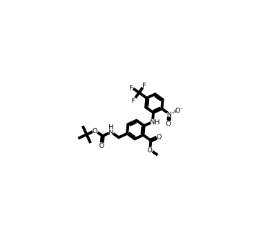 COC(=O)c1cc(CNC(=O)OC(C)(C)C)ccc1Nc1cc(C(F)(F)F)ccc1[N+](=O)[O-]